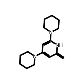 C=C1C=C(N2CCCCC2)C=C(N2CCCCC2)N1